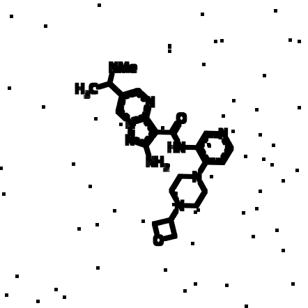 CNC(C)c1cnc2c(C(=O)Nc3cnccc3N3CCN(C4COC4)CC3)c(N)nn2c1